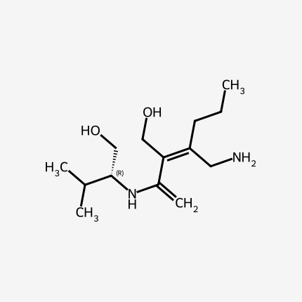 C=C(N[C@@H](CO)C(C)C)C(CO)=C(CN)CCC